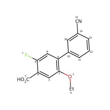 CCOc1cc(C(=O)O)c(F)cc1-c1cccc(C#N)c1